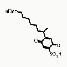 CCCCCCCCCCCCCCCCC(C)C1=CC(=O)C(S(=O)(=O)O)=CC1=O